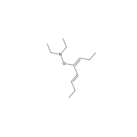 CC/C=C/C(=C\CC)ON(CC)CC